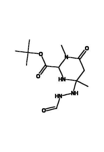 CN1C(=O)CC(C)(NNC=O)NC1C(=O)OC(C)(C)C